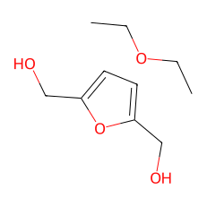 CCOCC.OCc1ccc(CO)o1